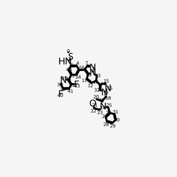 CSNc1cc(-c2cnn3c2C=CC(c2cnn(CC4COCCN4Cc4ccccc4)c2)C3)cc(-c2ncc(F)cc2F)c1